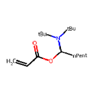 C=CC(=O)OC(CCCCC)N(C(C)(C)C)C(C)(C)C